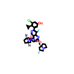 C=CC(=O)N1[C@@H]2CC[C@H]1CN(c1nc(OC[C@@]34CCCN3C[C@H](F)C4)nc3c(F)c(-c4cc(O)cc(Cl)c4C4CC4)ncc13)C2